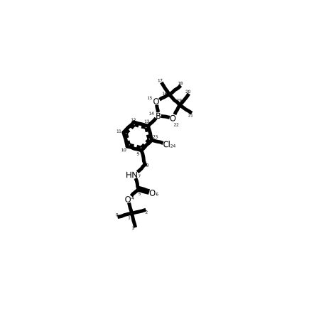 CC(C)(C)OC(=O)NCc1cccc(B2OC(C)(C)C(C)(C)O2)c1Cl